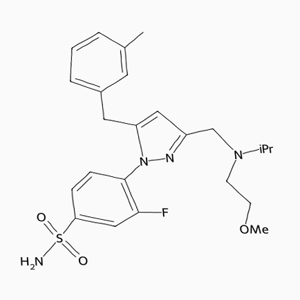 COCCN(Cc1cc(Cc2cccc(C)c2)n(-c2ccc(S(N)(=O)=O)cc2F)n1)C(C)C